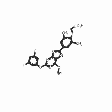 CCCOc1nc(Oc2cc(F)cc(F)c2)nc2oc(-c3cc(C)c(OCC(=O)O)c(C)c3)nc12